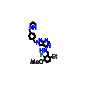 CCc1ccc(OC)c(F)c1CNc1ncnc2nn(Cc3ccc(Cn4cccn4)cc3)cc12